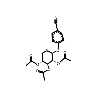 CC(=O)O[C@@H]1[C@@H](OC(C)=O)[C@H](OC(C)=O)CS[C@H]1Oc1ccc(C#N)cc1